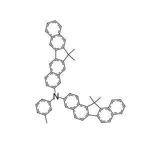 Cc1cccc(N(c2ccc3cc4c(cc3c2)C(C)(C)c2cc3ccccc3cc2-4)c2ccc3c4c(ccc3c2)-c2ccc3ccccc3c2C4(C)C)c1